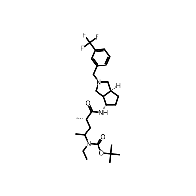 CCN(C(=O)OC(C)(C)C)C(C)C[C@H](C)C(=O)N[C@H]1CC[C@@H]2CN(Cc3cccc(C(F)(F)F)c3)CC21